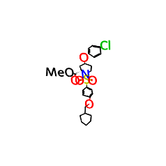 COC(=O)[C@@H]1CC(Oc2ccc(Cl)cc2)CCN1S(=O)(=O)c1ccc(OCC2CCCCC2)cc1